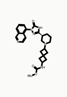 CC(C)(C)OC(=O)NC1CC2(C1)CC(N1CCC[C@H](c3nn(-c4cccc5cnccc45)c(=O)[nH]3)C1)C2